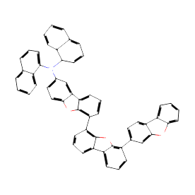 C1=CC2=CC=CC(N(c3ccc4oc5c(-c6cccc7c6oc6c(-c8ccc9c(c8)oc8ccccc89)cccc67)cccc5c4c3)c3cccc4ccccc34)C2C=C1